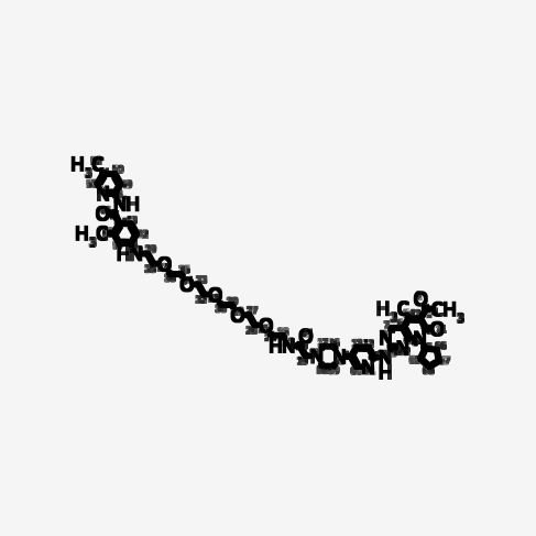 CC(=O)c1c(C)c2cnc(Nc3ccc(N4CCN(CC(=O)NCCOCCOCCOCCOCCOCCNc5ccc(C(=O)Nc6ccc(C)cn6)c(C)c5)CC4)cn3)nc2n(C2CCCC2)c1=O